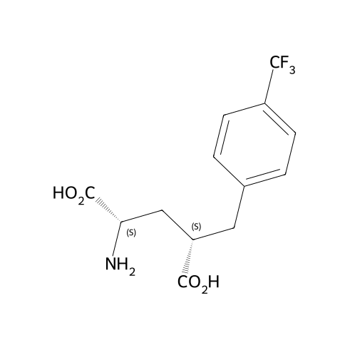 N[C@@H](C[C@H](Cc1ccc(C(F)(F)F)cc1)C(=O)O)C(=O)O